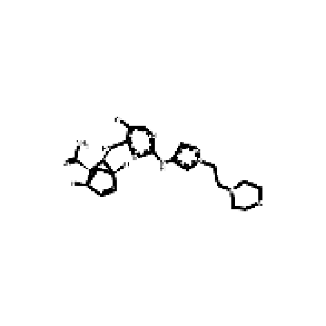 NC(=O)[C@H]1[C@@H](Nc2nc(Nc3cnn(CCN4CCOCC4)c3)ncc2Cl)[C@@H]2C=C[C@H]1C2